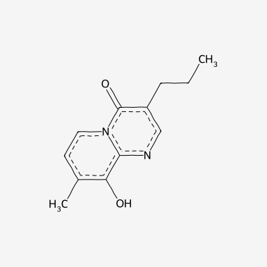 CCCc1cnc2c(O)c(C)ccn2c1=O